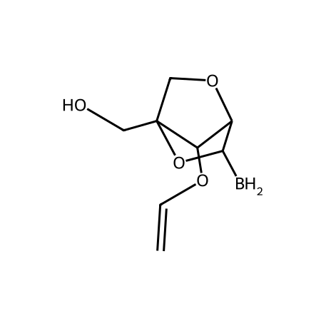 BC1OC2(CO)COC1C2OC=C